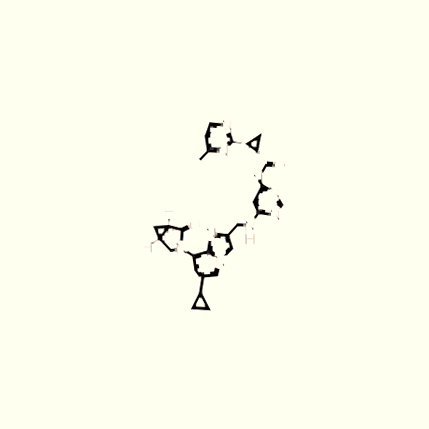 Cc1ccnc([C@H]2C[C@@H]2C(=O)Nc2cc(NCc3cn4cc(C5CC5)cc(N5C[C@@H]6C[C@@H]6C5=O)c4n3)ncn2)n1